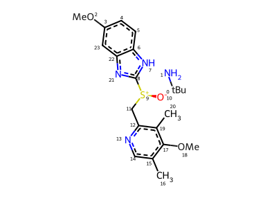 CC(C)(C)N.COc1ccc2[nH]c([S@@+]([O-])Cc3ncc(C)c(OC)c3C)nc2c1